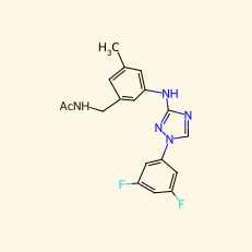 CC(=O)NCc1cc(C)cc(Nc2ncn(-c3cc(F)cc(F)c3)n2)c1